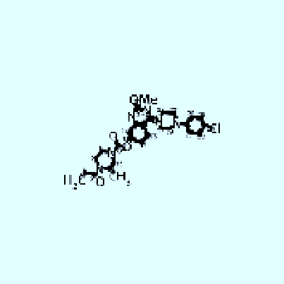 C=CC(=O)N1CCN(C(=O)Oc2ccc3c(N4CCN(c5ccc(Cl)cc5)CC4)nc(OC)nc3c2)C[C@H]1C